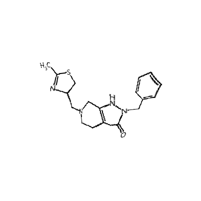 CC1=NC(CN2CCc3c([nH]n(Cc4ccccc4)c3=O)C2)CS1